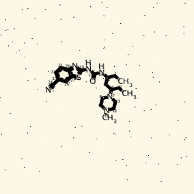 CCC(CC(CC)N1CCN(C)CC1)NC(=O)Nc1nc2ccc(C#N)cc2s1